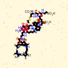 CC[C@H]1c2cc3[nH]c4c(c3C)C(=O)C(C(=O)OC)c4c3nc(cc4[nH]c(cc(n2)[C@@H]1C)c(C(C)=O)c4C)[C@@H](C)[C@@H]3CCC(=O)NCCCC(NC(=O)CCCc1nc2ccc(N(CCCl)CCCl)cc2n1C)C(=O)NNC(=O)OCCSSCC[C@H](NC(=O)[C@H](CC(=O)NCCS(=O)(=O)O)NC(=O)CC[C@H](NC(=O)c1ccc(NCc2cnc3nc(N)[nH]c(=O)c3n2)cc1)C(=O)O)C(=O)O